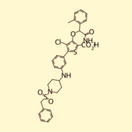 Cc1ccccc1C(Oc1c(C(=O)O)sc(-c2cccc(NC3CCN(S(=O)(=O)Cc4ccccc4)CC3)c2)c1Cl)C(N)=O